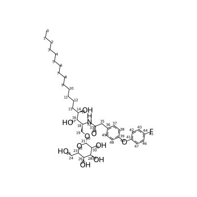 CCCCCCCCCCCCCC[C@@H](O)[C@@H](O)[C@H](CO[C@H]1OC(CO)[C@H](O)[C@H](O)C1O)NC(=O)Cc1ccc(Oc2ccc(F)cc2)cc1